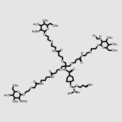 CC(=O)CNC1C(OCCOCCNC(=O)CCOCC(COCCC(=O)NCCCNC(=O)COCCOC2OC(COC(C)=O)C(OC(C)=O)C(OC(C)=O)C2NC(C)=O)(COCCC(=O)NCCOCCOC2OC(COC(C)=O)C(OC(C)=O)C(OC(C)=O)C2NC(C)=O)NC(=O)C2CCC(OP(OCCC=N)N(C(C)C)C(C)C)CC2)OC(COC(C)=O)C(OC(C)=O)C1OC(C)=O